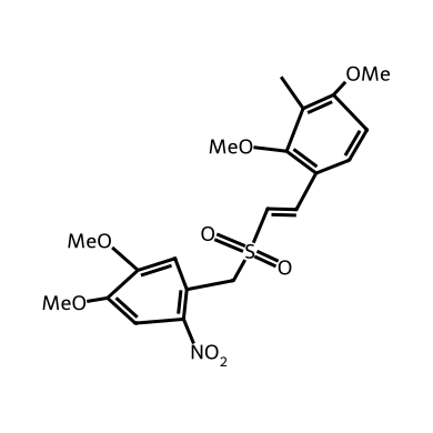 COc1cc(CS(=O)(=O)/C=C/c2ccc(OC)c(C)c2OC)c([N+](=O)[O-])cc1OC